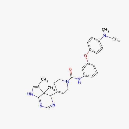 CC1=CNC2=NC=NC(C3=CCN(C(=O)Nc4cccc(Oc5ccc(N(C)C)cc5)c4)CC3)C12C